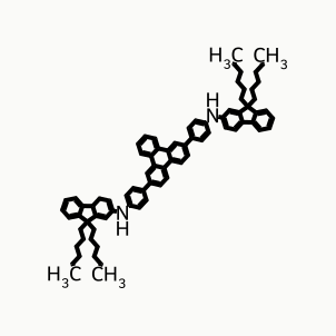 CCCCCCC1(CCCCCC)C2=CC(Nc3ccc(-c4ccc5c6ccc(-c7ccc(Nc8ccc9c(c8)C(CCCCCC)(CCCCCC)c8ccccc8-9)cc7)cc6c6ccccc6c5c4)cc3)=CCC2c2ccccc21